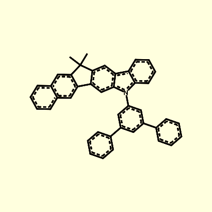 CC1(C)c2cc3ccccc3cc2-c2cc3c(cc21)c1ccccc1n3-c1cc(-c2ccccc2)cc(-c2ccccc2)c1